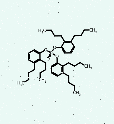 CCCCc1cccc(OP(=O)(Oc2cccc(CCCC)c2CCCC)Oc2cccc(CCCC)c2CCCC)c1CCCC